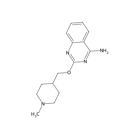 CN1CCC(COc2nc(N)c3ccccc3n2)CC1